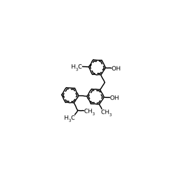 Cc1ccc(O)c(Cc2cc(-c3ccccc3C(C)C)cc(C)c2O)c1